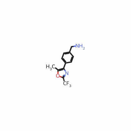 Cc1oc(C(F)(F)F)nc1-c1ccc(CN)cc1